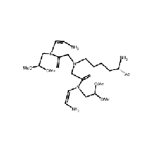 C=C(CN(CCCC[C@H](N)C(C)=O)CC(=C)N(/C=C\N)CC(OC)OC)N(/C=C\N)CC(OC)OC